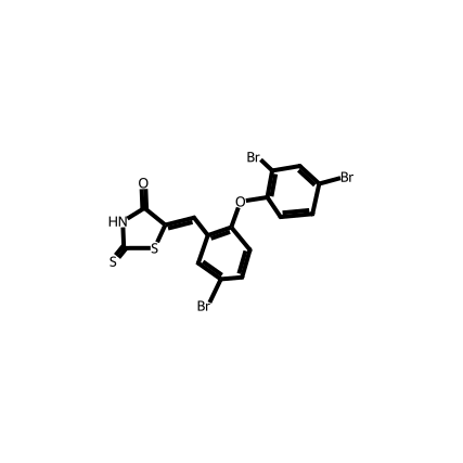 O=C1NC(=S)S/C1=C\c1cc(Br)ccc1Oc1ccc(Br)cc1Br